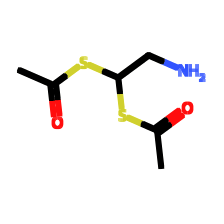 CC(=O)SC(CN)SC(C)=O